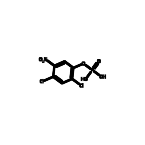 O=[N+]([O-])c1cc(OP(=O)(O)O)c(Cl)cc1Cl